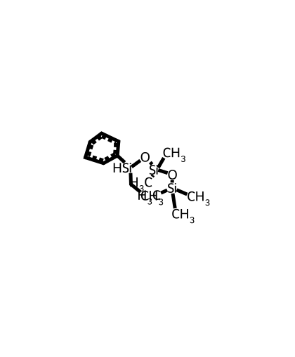 CC[SiH](O[Si](C)(C)O[Si](C)(C)C)c1ccccc1